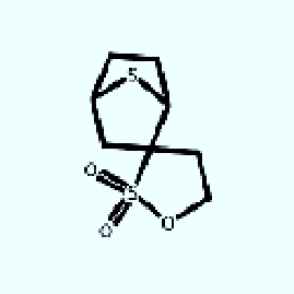 O=S1(=O)OCCC12CC1CCC2S1